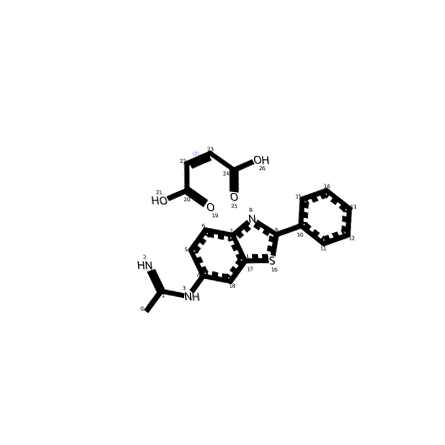 CC(=N)Nc1ccc2nc(-c3ccccc3)sc2c1.O=C(O)/C=C\C(=O)O